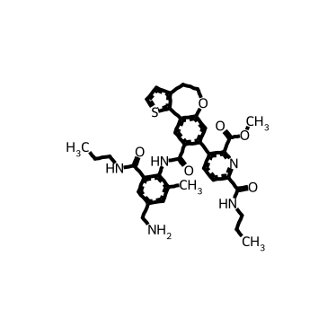 CCCNC(=O)c1ccc(-c2cc3c(cc2C(=O)Nc2c(C)cc(CN)cc2C(=O)NCCC)-c2sccc2CCO3)c(C(=O)OC)n1